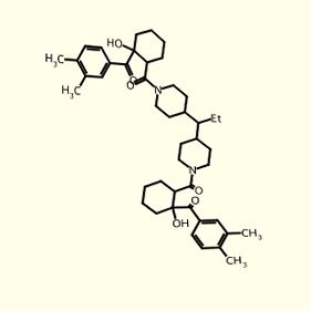 CCC(C1CCN(C(=O)C2CCCCC2(O)C(=O)c2ccc(C)c(C)c2)CC1)C1CCN(C(=O)C2CCCCC2(O)C(=O)c2ccc(C)c(C)c2)CC1